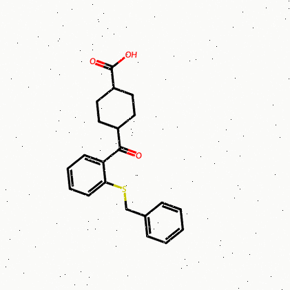 O=C(O)C1CCC(C(=O)c2ccccc2SCc2ccccc2)CC1